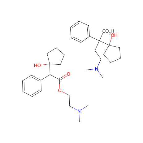 CN(C)CCC(C(=O)O)(c1ccccc1)C1(O)CCCC1.CN(C)CCOC(=O)C(c1ccccc1)C1(O)CCCC1